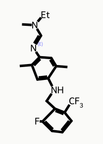 CCN(C)/C=N/c1cc(C)c(NCc2c(F)cccc2C(F)(F)F)cc1C